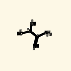 N#CN(C#N)C(=N)N